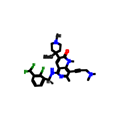 COC1(c2cc3c(N[C@H](C)c4cccc(C(F)F)c4F)nc(C)c(C#CCN(C)C)c3n(C)c2=O)CCN(C(C)=O)CC1